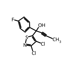 CC#CC(O)(c1ccc(F)cc1)c1snc(Cl)c1Cl